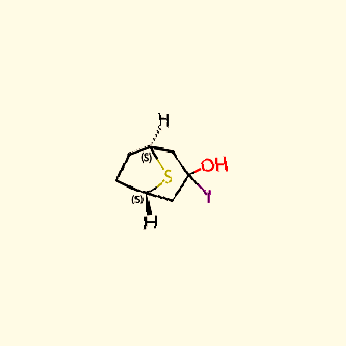 OC1(I)C[C@@H]2CC[C@@H](C1)S2